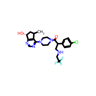 CC1C[C@@H](O)c2ncnc(N3CCN(C(=O)C(CNCC(F)(F)F)c4ccc(Cl)cc4)CC3)c21